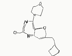 Clc1nc(N2CCOCC2)c2oc(CC3CCC3)cc2n1